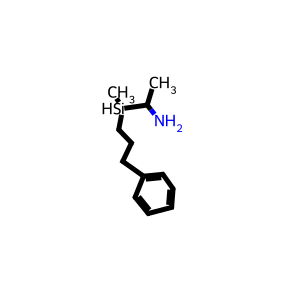 CC(N)[SiH](C)CCCc1ccccc1